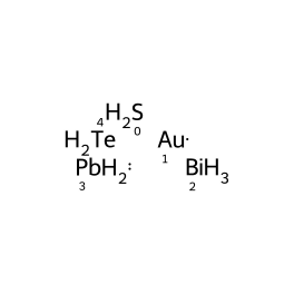 S.[Au].[BiH3].[PbH2].[TeH2]